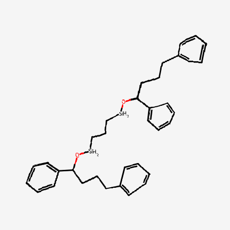 c1ccc(CCCC(O[SiH2]CCC[SiH2]OC(CCCc2ccccc2)c2ccccc2)c2ccccc2)cc1